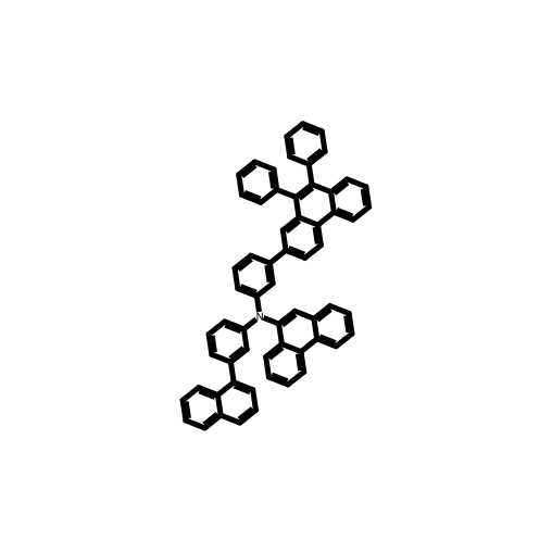 c1ccc(-c2c(-c3ccccc3)c3cc(-c4cccc(N(c5cccc(-c6cccc7ccccc67)c5)c5cc6ccccc6c6ccccc56)c4)ccc3c3ccccc23)cc1